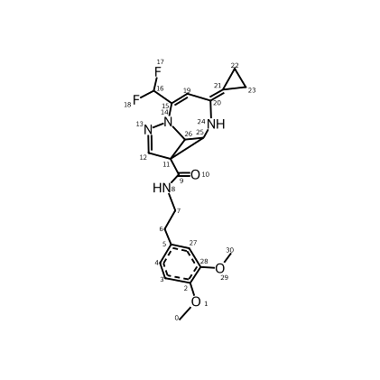 COc1ccc(CCNC(=O)C23C=NN4C(C(F)F)=CC(=C5CC5)NC2C43)cc1OC